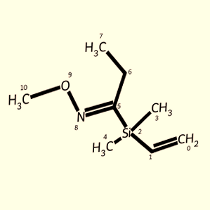 C=C[Si](C)(C)C(CC)=NOC